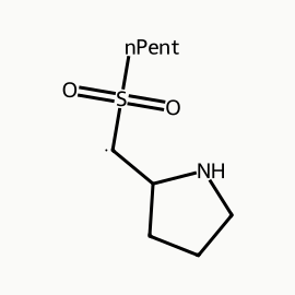 CCCCCS(=O)(=O)[CH]C1CCCN1